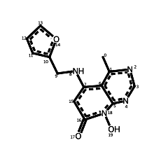 Cc1ncnc2c1c(NCc1ccco1)cc(=O)n2O